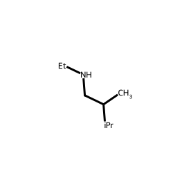 [CH2]CNCC(C)C(C)C